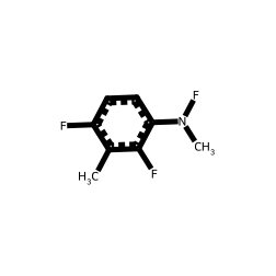 Cc1c(F)ccc(N(C)F)c1F